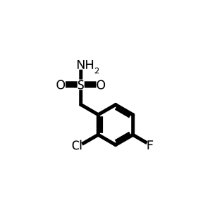 NS(=O)(=O)Cc1ccc(F)cc1Cl